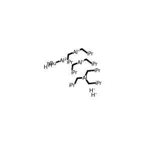 CC(C)[CH2][Al+][CH2]C(C)C.CC(C)[CH2][Al+][CH2]C(C)C.CC(C)[CH2][Al]([CH2]C(C)C)[CH2]C(C)C.CCC[CH2][Al+2].[H-].[H-].[H-].[H-]